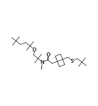 CC(C)(C)CCC(C)(C)OCC(C)(C)N(I)C(=O)CC12CCC1(CSCC(C)(C)C)CC2